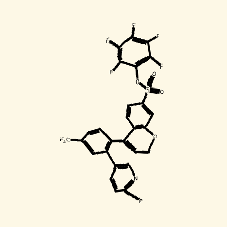 O=S(=O)(Oc1c(F)c(F)c(F)c(F)c1F)c1ccc2c(c1)OCC=C2c1ccc(C(F)(F)F)cc1-c1ccc(F)nc1